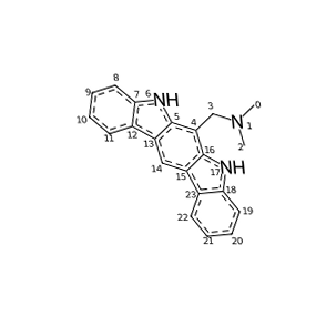 CN(C)Cc1c2[nH]c3ccccc3c2cc2c1[nH]c1ccccc12